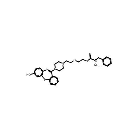 N[C@@H](Cc1ccccc1)C(=O)OCCOCCN1CCN(C2=Nc3ccc(O)cc3Sc3ccccc32)CC1